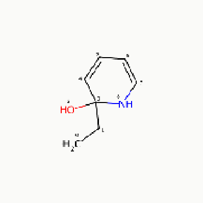 [CH2]CC1(O)C=CC=CN1